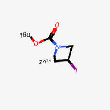 CC(C)(C)OC(=O)N1CC(I)C1.[Zn+2]